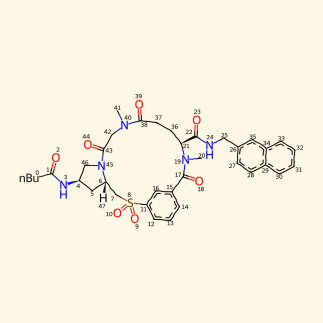 CCCCC(=O)N[C@@H]1C[C@H]2CS(=O)(=O)c3cccc(c3)C(=O)N(C)[C@H](C(=O)NCc3ccc4ccccc4c3)CCC(=O)N(C)CC(=O)N2C1